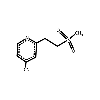 CS(=O)(=O)CCc1cc(C#N)ccn1